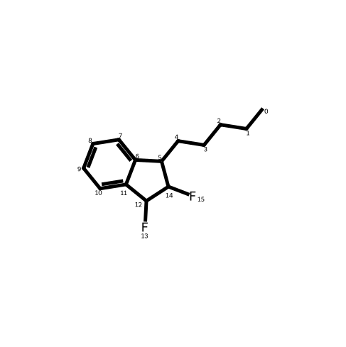 CCCCCC1c2ccccc2C(F)C1F